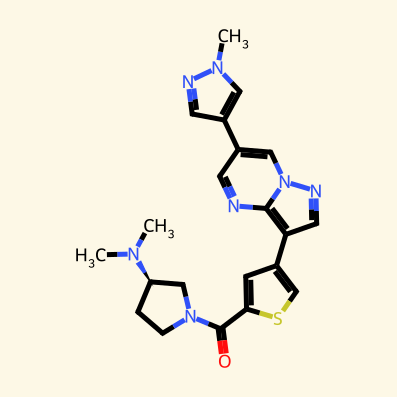 CN(C)[C@@H]1CCN(C(=O)c2cc(-c3cnn4cc(-c5cnn(C)c5)cnc34)cs2)C1